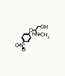 CNC(CO)Oc1ccc([N+](=O)[O-])cc1